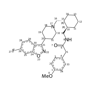 COc1ccc(CC(=O)NC[C@@H]2CCCC[C@H]2CN2CCC(c3noc4cc(F)ccc34)CC2)cc1